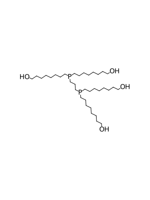 OCCCCCCCCP(CCCCCCCCO)CCCP(CCCCCCCCO)CCCCCCCCO